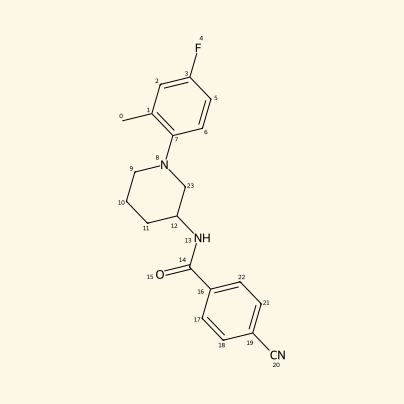 Cc1cc(F)ccc1N1CCCC(NC(=O)c2ccc(C#N)cc2)C1